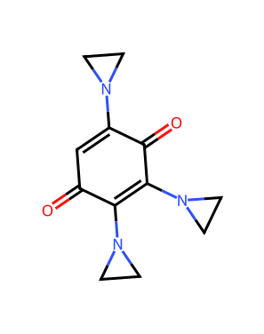 O=C1C=C(N2CC2)C(=O)C(N2CC2)=C1N1CC1